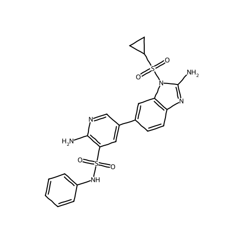 Nc1ncc(-c2ccc3nc(N)n(S(=O)(=O)C4CC4)c3c2)cc1S(=O)(=O)Nc1ccccc1